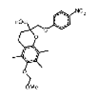 CCCCCCCCC1(COc2ccc([N+](=O)[O-])cc2)CCc2c(C)c(OCOC)c(C)c(C)c2O1